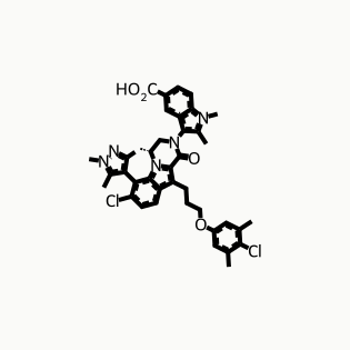 Cc1cc(OCCCc2c3n(c4c(-c5c(C)nn(C)c5C)c(Cl)ccc24)[C@H](C)CN(c2c(C)n(C)c4ccc(C(=O)O)cc24)C3=O)cc(C)c1Cl